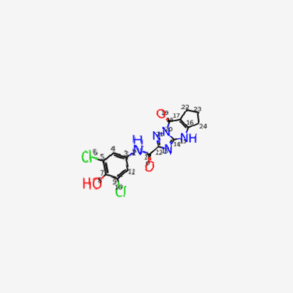 O=C(Nc1cc(Cl)c(O)c(Cl)c1)c1nc2[nH]c3c(c(=O)n2n1)CCC3